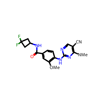 CNc1nc(Nc2ccc(C(=O)NC3CC(F)(F)C3)cc2OC)ncc1C#N